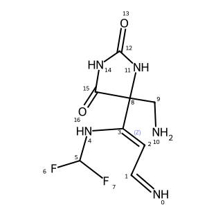 N=C/C=C(\NC(F)F)C1(CN)NC(=O)NC1=O